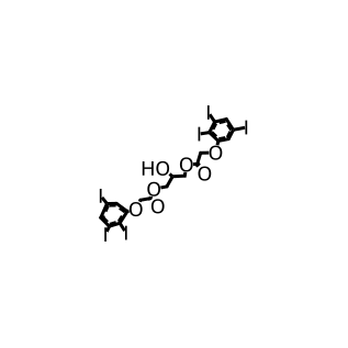 O=C(COc1cc(I)cc(I)c1I)OCC(O)COC(=O)COc1cc(I)cc(I)c1I